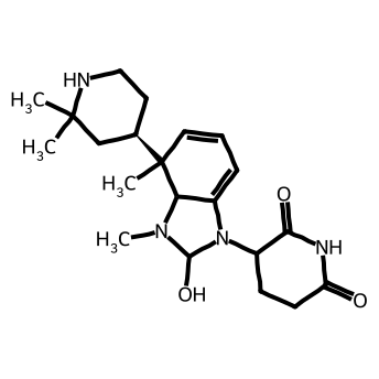 CN1C(O)N(C2CCC(=O)NC2=O)C2=CC=CC(C)([C@@H]3CCNC(C)(C)C3)C21